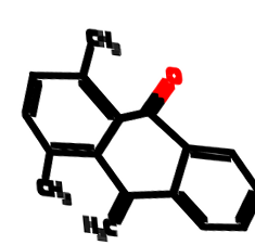 C=C1c2ccccc2C(=O)c2c(C)ccc(C)c21